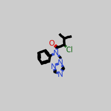 CC(C)C(Cl)C(=O)N(Cn1cncn1)c1ccccc1